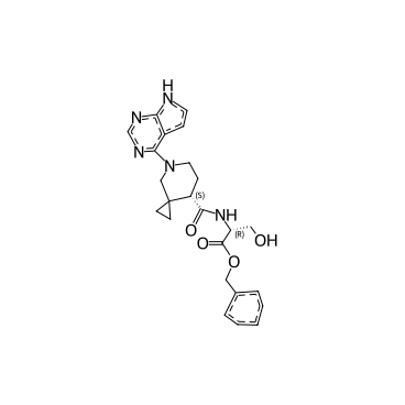 O=C(N[C@H](CO)C(=O)OCc1ccccc1)[C@H]1CCN(c2ncnc3[nH]ccc23)CC12CC2